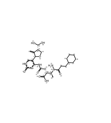 C=C1C(c2c[nH]c(=O)nc2NC(=O)O[C@@H](C(=O)O)[C@H](C)N(N)C(=O)CCC2CCCCC2)OC[C@H]1C(O)O